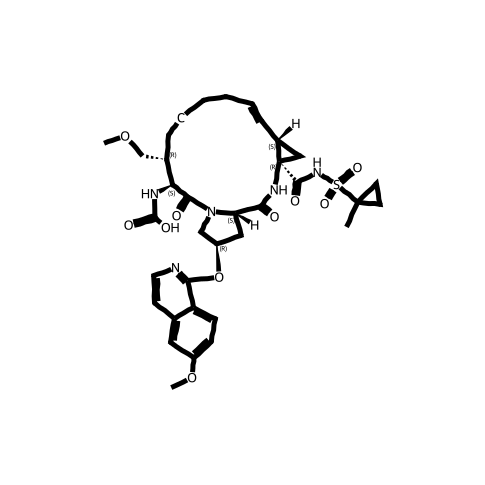 COC[C@@H]1CCCCC=C[C@@H]2C[C@@]2(C(=O)NS(=O)(=O)C2(C)CC2)NC(=O)[C@@H]2C[C@@H](Oc3nccc4cc(OC)ccc34)CN2C(=O)[C@H]1NC(=O)O